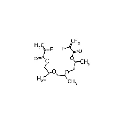 C=C(F)C(=O)OCC(C)OCC(C)OCC(C)OC(=O)C(=C)F